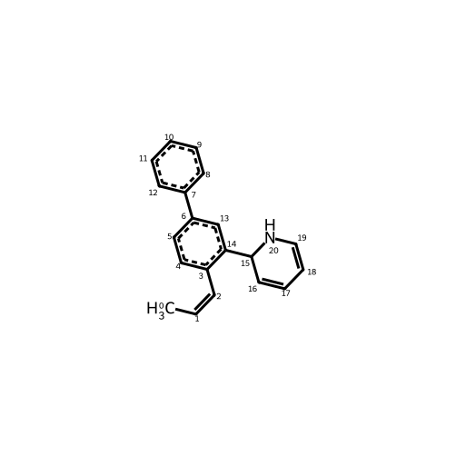 C/C=C\c1ccc(-c2ccccc2)cc1C1C=CC=CN1